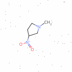 [CH2]N1CCC([N+](=O)[O-])C1